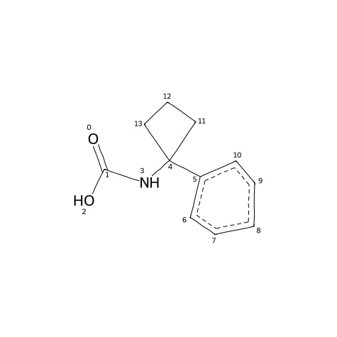 O=C(O)NC1(c2ccccc2)CCC1